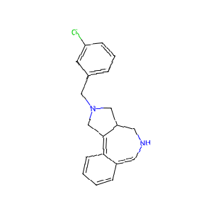 Clc1cccc(CN2CC3=c4ccccc4=CNCC3C2)c1